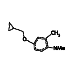 CNc1ccc(OCC2CC2)cc1C